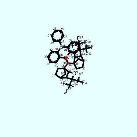 FC(F)(F)C1(C(F)(F)F)OC2C1C1CCC2(COc2ccccc2[S+](c2ccccc2)c2ccccc2OCC23CCC(C2)C2C3OC2(C(F)(F)F)C(F)(F)F)C1